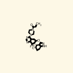 C=CC(=O)N1CCN(c2ncnc3c(F)c([C@@H]4c5cn[nH]c5C=C[C@@H]4C)c(Cl)cc23)CC1